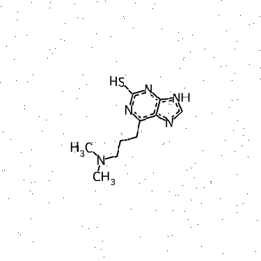 CN(C)CCCc1nc(S)nc2[nH]cnc12